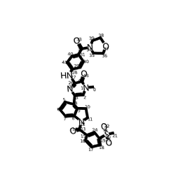 Cn1cc(-c2cccc3c2CCN3C(=O)c2cccc(S(C)(=O)=O)c2)nc(Nc2ccc(C(=O)N3CCOCC3)cc2)c1=O